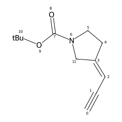 C#CC=C1CCN(C(=O)OC(C)(C)C)C1